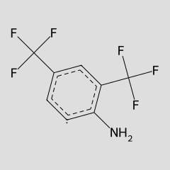 Nc1[c]cc(C(F)(F)F)cc1C(F)(F)F